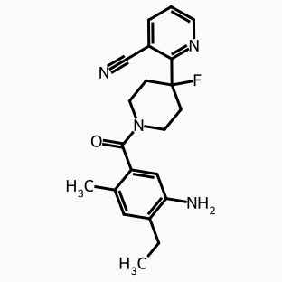 CCc1cc(C)c(C(=O)N2CCC(F)(c3ncccc3C#N)CC2)cc1N